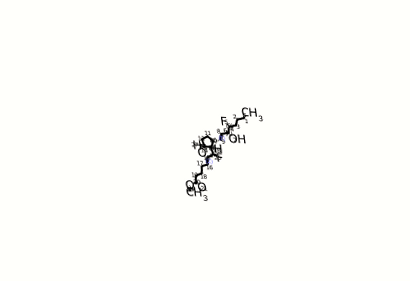 CCCC[C@@H](F)[C@H](O)/C=C/[C@H]1CC[C@H]2O/C(=C\CCCC(=O)OC)C(F)[C@H]12